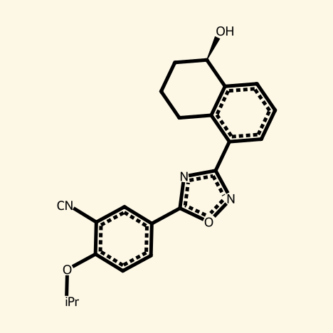 [C-]#[N+]c1cc(-c2nc(-c3cccc4c3CCC[C@H]4O)no2)ccc1OC(C)C